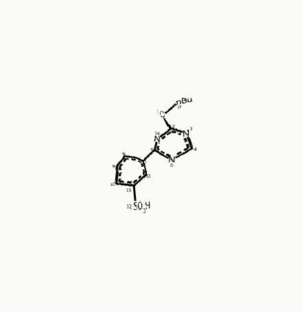 CCCCOc1ncnc(-c2cccc(S(=O)(=O)O)c2)n1